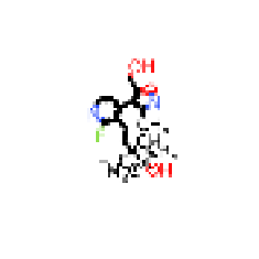 Cc1noc(CO)c1-c1ccnc(F)c1CCC(C)(C)[Si](C)(C)O